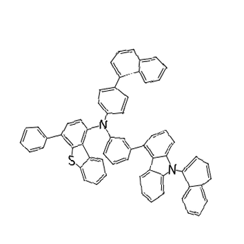 c1ccc(-c2ccc(N(c3ccc(-c4cccc5ccccc45)cc3)c3cccc(-c4cccc5c4c4ccccc4n5-c4cccc5ccccc45)c3)c3c2sc2ccccc23)cc1